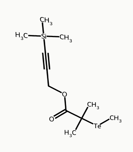 C[Te]C(C)(C)C(=O)OCC#C[Si](C)(C)C